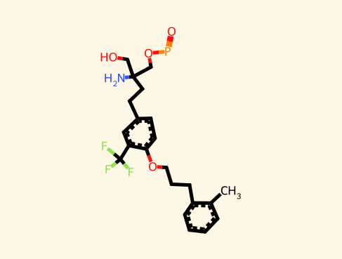 Cc1ccccc1CCCOc1ccc(CCC(N)(CO)COP=O)cc1C(F)(F)F